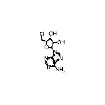 Nc1ncnc2c1ncn2C1OC(CCl)[C@H](O)C1O